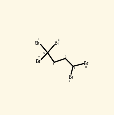 BrC(Br)CCC(Br)(Br)Br